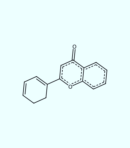 O=c1cc(C2=CC=CCC2)oc2ccccc12